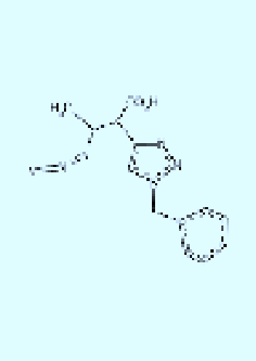 CC(N=[N+]=[N-])C(C(=O)O)c1cn(Cc2ccccc2)nn1